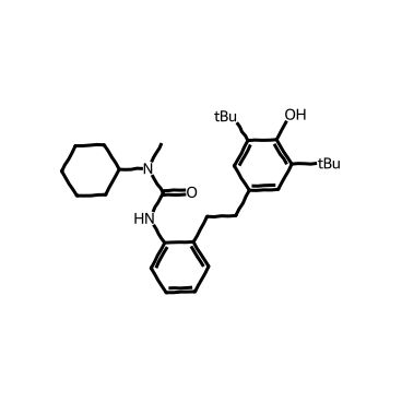 CN(C(=O)Nc1ccccc1CCc1cc(C(C)(C)C)c(O)c(C(C)(C)C)c1)C1CCCCC1